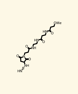 COCCC(=O)NCCC(=O)NCCNC(=O)CCN1C(=O)CC(NB=N)C1=O